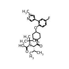 CC(C)[C@@H](C(=O)N1CCC(Oc2ccc(F)cc2-c2cnn(C)c2)CC1)N(C(=O)O)C(C)(C)C